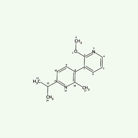 COc1ncccc1-c1ccc(C(C)C)nc1C